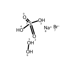 O=S(=O)(O)O.OO.[Br-].[Na+]